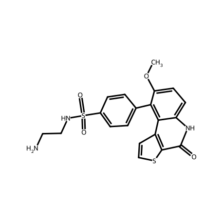 COc1ccc2[nH]c(=O)c3sccc3c2c1-c1ccc(S(=O)(=O)NCCN)cc1